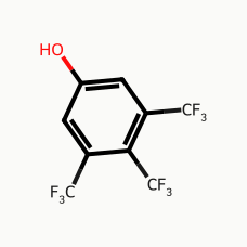 Oc1cc(C(F)(F)F)c(C(F)(F)F)c(C(F)(F)F)c1